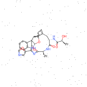 CC(C)[C@H](O)C(=O)N[C@H]1Cc2ccc3c(c2)C2(c4ccccc4NC2O3)c2oc(nc2-c2cnco2)[C@H](C(C)C)NC1=O